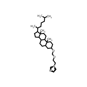 CC(C)CCCC(C)C1CCC2C3CCC4CC(OCOCCn5ccnc5)CCC4(C)C3CCC12C